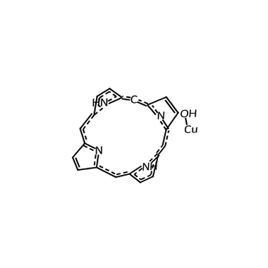 C1=Cc2cc3ccc(cc4nc(cc5ccc(cc1n2)[nH]5)C=C4)[nH]3.[OH][Cu]